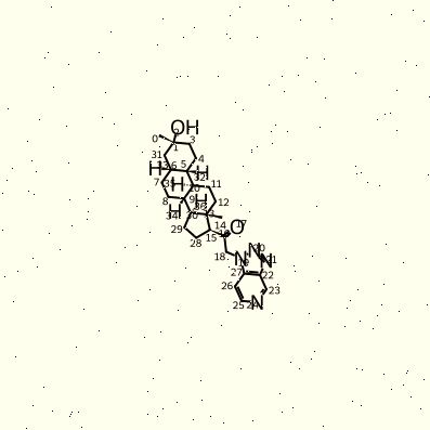 C[C@@]1(O)CC[C@H]2[C@H](CC[C@@H]3[C@@H]2CC[C@]2(C)[C@@H](C(=O)Cn4nnc5cnccc54)CC[C@@H]32)C1